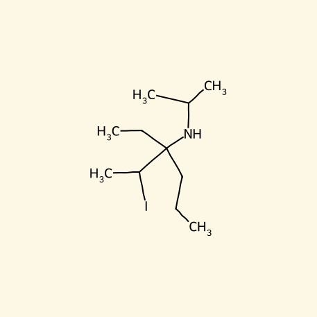 CCCC(CC)(NC(C)C)C(C)I